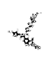 Cc1nsc(NC(=O)C(C)c2ccc(O)c([N+](=O)[O-])c2)c1Cl.O.O.O.O.O.O.O.O.O.O=[N+]([O-])[O-].O=[N+]([O-])[O-].O=[N+]([O-])[O-].[Fe+3]